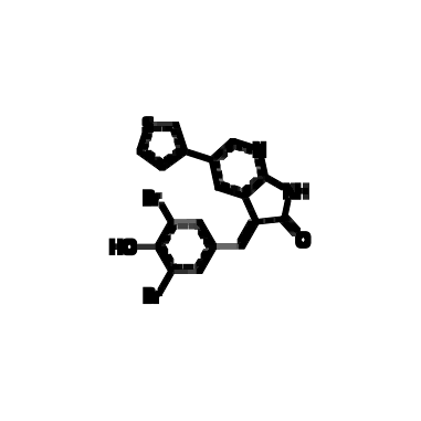 O=C1Nc2ncc(-c3ccsc3)cc2/C1=C\c1cc(Br)c(O)c(Br)c1